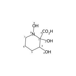 O=C(O)C1(O)C(O)CCCN1O